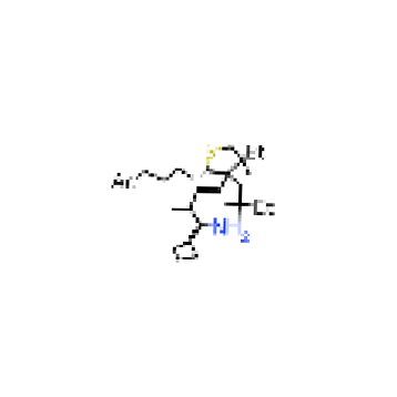 CCC(C)(C)CC1(/C=C/C(C)C(N)=C2CCC2)[C@H](CCCCC(C)=O)SCC1(C)CC